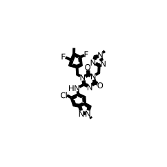 Cc1c(F)cc(Cn2c(Nc3cc4cn(C)nc4cc3Cl)nc(=O)n(Cc3ncn(C)n3)c2=O)cc1F